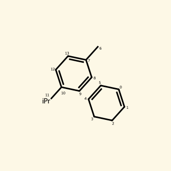 C1=CCCC=C1.Cc1ccc(C(C)C)cc1